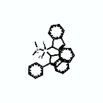 C[SiH](C)[Ti]([Cl])([Cl])([CH]1C(c2ccccc2)=Cc2ccccc21)[CH]1C(c2ccccc2)=Cc2ccccc21